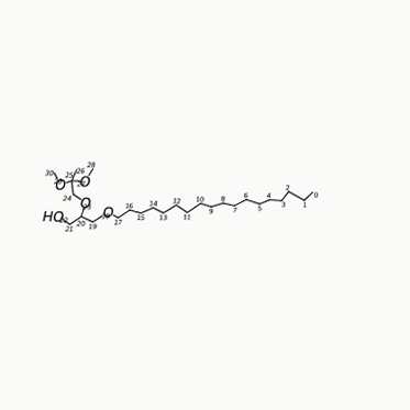 CCCCCCCCCCCCCCCCCCOCC(CO)OCC(C)(OC)OC